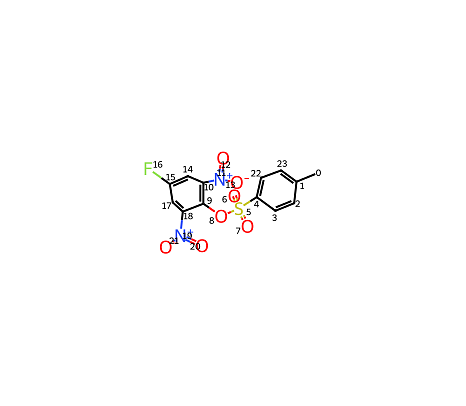 Cc1ccc(S(=O)(=O)Oc2c([N+](=O)[O-])cc(F)cc2[N+](=O)[O-])cc1